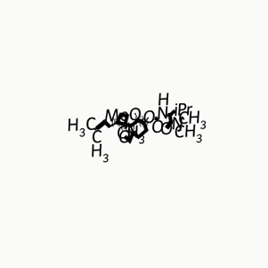 CO[C@@H]1[C@H](OC(=O)NC(C(=O)N(C)C)C(C)C)CCC2(CO2)[C@H]1[C@@]1(C)CC[C@@H]1CC=C(C)C